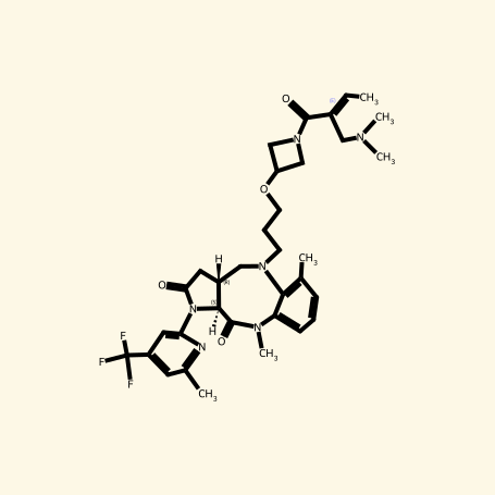 C/C=C(\CN(C)C)C(=O)N1CC(OCCCN2C[C@H]3CC(=O)N(c4cc(C(F)(F)F)cc(C)n4)[C@@H]3C(=O)N(C)c3cccc(C)c32)C1